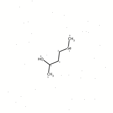 C[Se]CCC(C)O